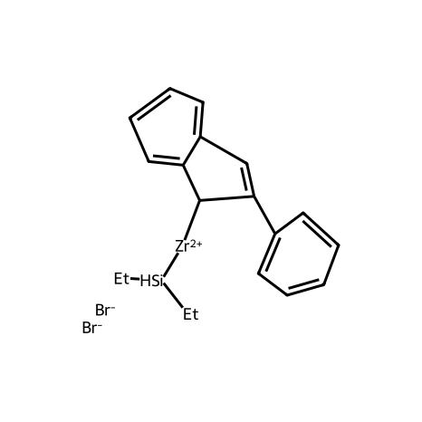 CC[SiH](CC)[Zr+2][CH]1C(c2ccccc2)=Cc2ccccc21.[Br-].[Br-]